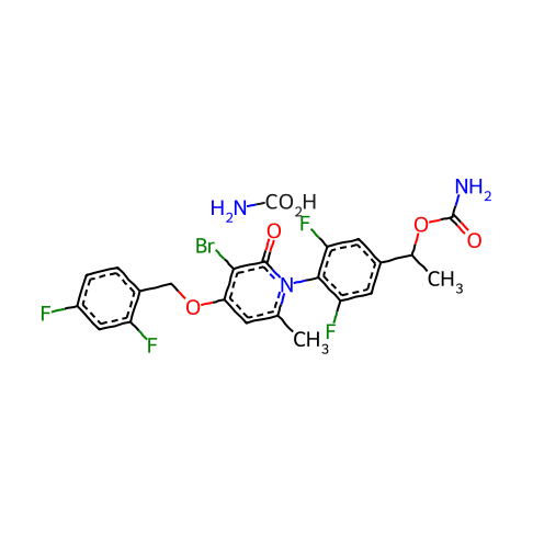 Cc1cc(OCc2ccc(F)cc2F)c(Br)c(=O)n1-c1c(F)cc(C(C)OC(N)=O)cc1F.NC(=O)O